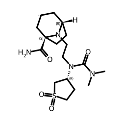 CN(C)C(=O)N(CCN1[C@@H]2C[CH]C[C@@]1(C(N)=O)CC2)[C@@H]1CCS(=O)(=O)C1